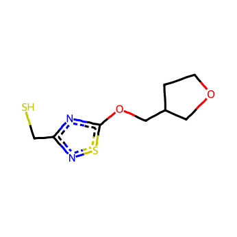 SCc1nsc(OCC2CCOC2)n1